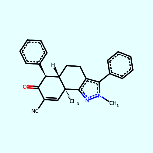 Cn1nc2c(c1-c1ccccc1)CC[C@H]1[C@H](c3ccccc3)C(=O)C(C#N)=C[C@]21C